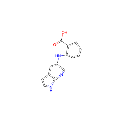 O=C(O)c1ccccc1Nc1cnc2[nH]ccc2c1